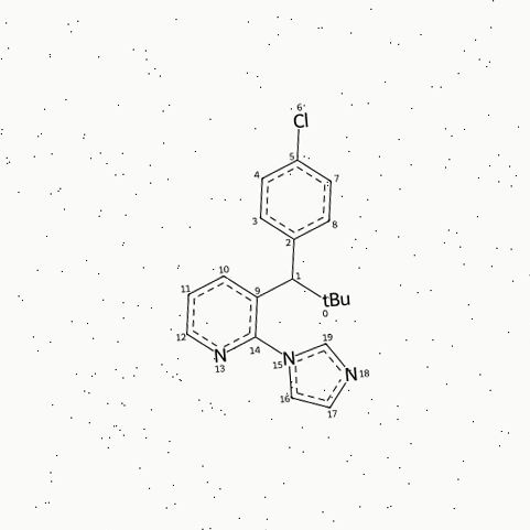 CC(C)(C)C(c1ccc(Cl)cc1)c1cccnc1-n1ccnc1